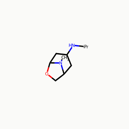 CC(C)NC1CC2COC(C1)N2C